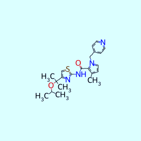 Cc1ccn(Cc2ccncc2)c1C(=O)Nc1nc(C(C)(C)OC(C)C)cs1